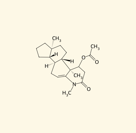 CC(=O)OC1CC(=O)N(C)C2=CC[C@H]3[C@@H]4CCC[C@@]4(C)CC[C@@H]3[C@]21C